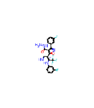 N=C/C(=C(\Nc1cccc(F)c1)C(F)(F)F)c1onc(-c2cccc(F)c2)c1C(=O)NN